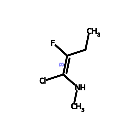 CC/C(F)=C(/Cl)NC